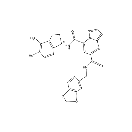 CC(=O)c1ccc2c(c1C)CC[C@@H]2NC(=O)c1cc(C(=O)NCc2ccc3c(c2)OCO3)nc2ccnn12